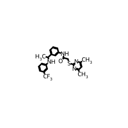 Cc1cc(C)nc(SCC(=O)Nc2cccc(C(C)Nc3cccc(C(F)(F)F)c3)c2)n1